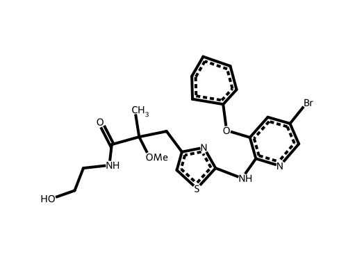 COC(C)(Cc1csc(Nc2ncc(Br)cc2Oc2ccccc2)n1)C(=O)NCCO